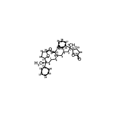 CC(CCCN(CCCC(C)(c1ccccc1)C1CCC(=O)O1)C(N)=S)(c1ccccc1)C1CCC(=O)O1